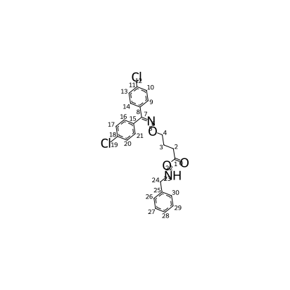 O=C(CCCON=C(c1ccc(Cl)cc1)c1ccc(Cl)cc1)ONCc1ccccc1